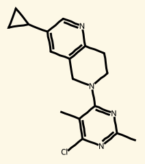 Cc1nc(Cl)c(C)c(N2CCc3ncc(C4CC4)cc3C2)n1